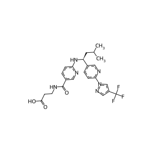 CC(C)C[C@H](Nc1ccc(C(=O)NCCC(=O)O)cn1)c1ccc(-n2cc(C(F)(F)F)cn2)nc1